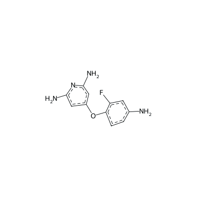 Nc1ccc(Oc2cc(N)nc(N)c2)c(F)c1